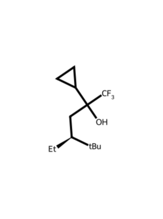 CC[C@@H](CC(O)(C1CC1)C(F)(F)F)C(C)(C)C